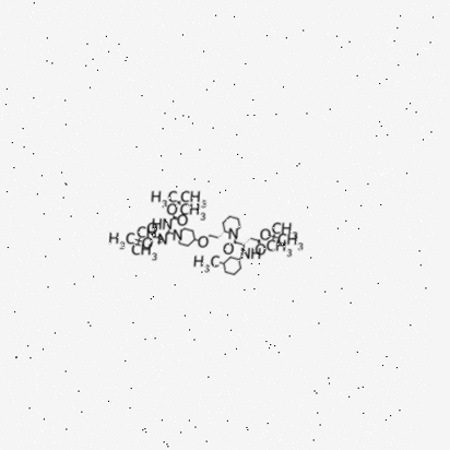 C[C@@H]1CCCC(N[C@@H](CC(=O)OC(C)(C)C)C(=O)N2CCCC[C@H]2CCOC2CCN(C(=NC(=O)OC(C)(C)C)NC(=O)OC(C)(C)C)CC2)C1